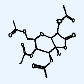 CC(=O)OC[C@H]1OC2C(OC(C)=O)C(=O)O[C@@H]2[C@@H](OC(C)=O)[C@H]1OC(C)=O